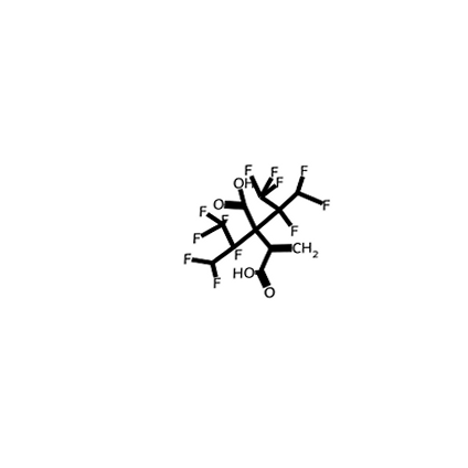 C=C(C(=O)O)C(C(=O)O)(C(F)(C(F)F)C(F)(F)F)C(F)(C(F)F)C(F)(F)F